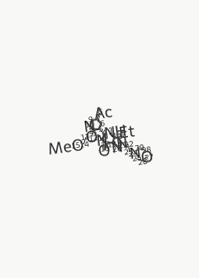 CCc1c2[nH]c(-c3cc(C(C)=O)cnc3OCCOC)nc(=O)c2nn1CCN1CCOCC1